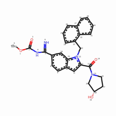 CC(C)(C)OC(=O)NC(=N)c1ccc2cc(C(=O)N3CC[C@H](O)C3)n(Cc3cccc4ccccc34)c2c1